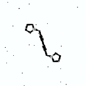 C(C#CCN1CCCC1)#CCN1CCCC1